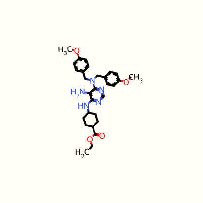 CCOC(=O)C1CCC(Nc2ncnc(N(Cc3ccc(OC)cc3)Cc3ccc(OC)cc3)c2N)CC1